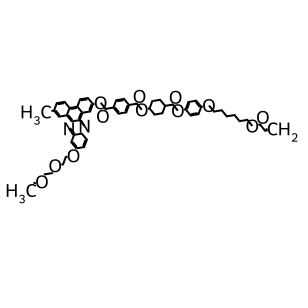 C=CC(=O)OCCCCCCOc1ccc(OC(=O)C2CCC(OC(=O)c3ccc(C(=O)Oc4ccc5c6ccc(C)cc6c6nc7cc(OCCOCCOCC)ccc7nc6c5c4)cc3)CC2)cc1